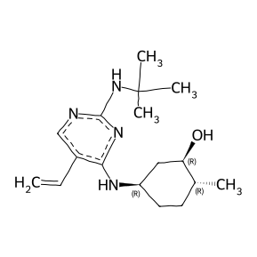 C=Cc1cnc(NC(C)(C)C)nc1N[C@@H]1CC[C@@H](C)[C@H](O)C1